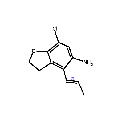 C/C=C/c1c(N)cc(Cl)c2c1CCO2